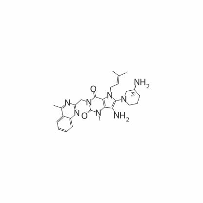 CC(C)=CCn1c(N2CCC[C@H](N)C2)c(N)c2c1c(=O)n(Cc1nc(C)c3ccccc3n1)c(=O)n2C